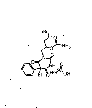 CCCCOCC(CN1C(=O)NC(=O)C(CC)(c2ccccc2)C1=O)OC(N)=O.O=[Se](O)O